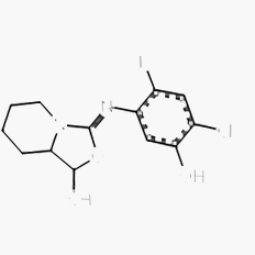 CC1OC(=Nc2cc(O)c(Cl)cc2F)N2CCCCC12